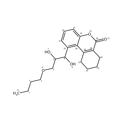 CCCCOCC(O)C(O)c1cccc2oc(=O)c3c(c12)CCCC3